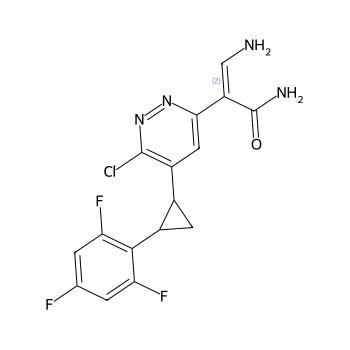 N/C=C(\C(N)=O)c1cc(C2CC2c2c(F)cc(F)cc2F)c(Cl)nn1